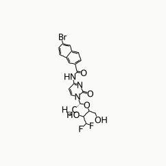 C[C@@H](OC(CO)C(O)C(F)F)n1ccc(NC(=O)c2ccc3cc(Br)ccc3c2)nc1=O